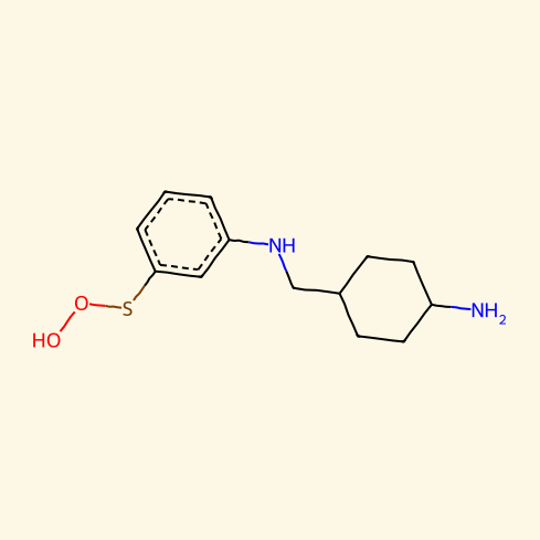 NC1CCC(CNc2cccc(SOO)c2)CC1